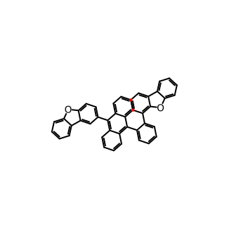 c1ccc(-c2cccc3c2oc2ccccc23)c(-c2c3ccccc3c(-c3ccc4oc5ccccc5c4c3)c3ccccc23)c1